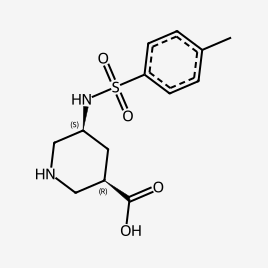 Cc1ccc(S(=O)(=O)N[C@@H]2CNC[C@H](C(=O)O)C2)cc1